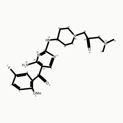 COc1ccc(F)cc1C(=O)c1cnc(NC2CCN(CC(=O)CN(C)C)CC2)nc1N